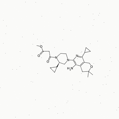 COC(=O)CC(=O)N1CCN(c2nc(C3CC3)c3c(c2N)CC(C)(C)OC3)C[C@H]1C1CC1